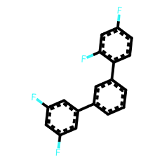 Fc1cc(F)cc(-c2cccc(-c3ccc(F)cc3F)c2)c1